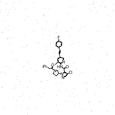 Cc1cc(C#Cc2ccc(F)cc2)cnc1NC(=O)c1c(Cl)cnn1C1CCN(C(=O)CC(C)C)C1